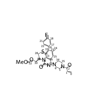 C=CC(=O)N1CCN(c2nc(=O)n3c4c(c(-c5ccc(F)cc5)c(C)cc24)SC[C@@H]3COCOC)CC1